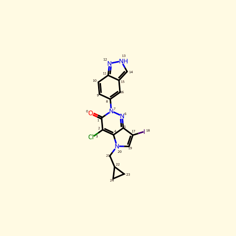 O=c1c(Cl)c2c(nn1-c1ccc3n[nH]cc3c1)c(I)cn2CC1CC1